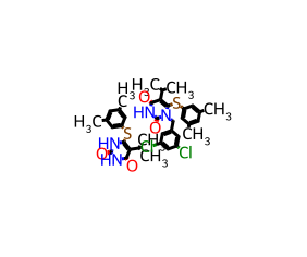 Cc1cc(C)cc(Sc2[nH]c(=O)[nH]c(=O)c2C(C)C)c1.Cc1cc(C)cc(Sc2c(C(C)C)c(=O)[nH]c(=O)n2Cc2cc(Cl)cc(Cl)c2)c1